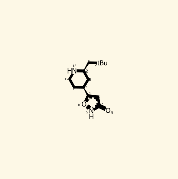 CC(C)(C)C[C@H]1C[C@@H](c2cc(=O)[nH]o2)CCN1